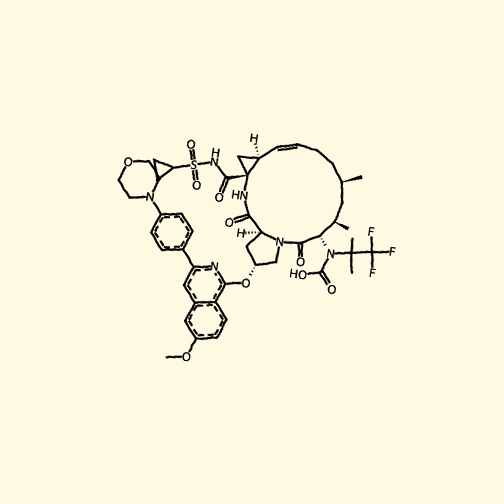 COc1ccc2c(O[C@@H]3C[C@H]4C(=O)N[C@]5(C(=O)NS(=O)(=O)C6CC6)C[C@H]5/C=C\CC[C@@H](C)C[C@@H](C)[C@H](N(C(=O)O)C(C)(C)C(F)(F)F)C(=O)N4C3)nc(-c3ccc(N4CCOCC4)cc3)cc2c1